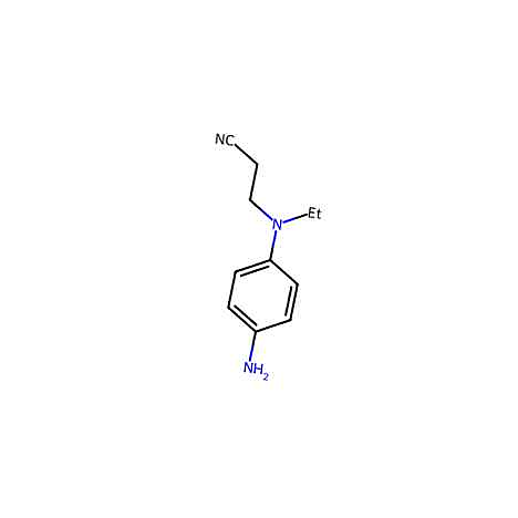 CCN(CCC#N)c1ccc(N)cc1